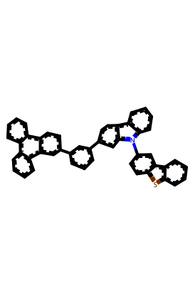 c1cc(-c2ccc3c4ccccc4c4ccccc4c3c2)cc(-c2ccc3c4ccccc4n(-c4ccc5sc6ccccc6c5c4)c3c2)c1